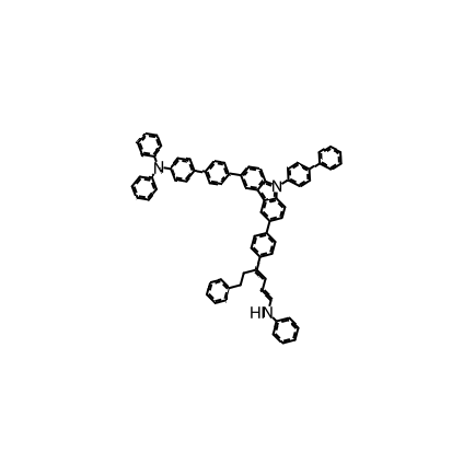 C(=C\Nc1ccccc1)/C=C(\CCc1ccccc1)c1ccc(-c2ccc3c(c2)c2cc(-c4ccc(-c5ccc(N(c6ccccc6)c6ccccc6)cc5)cc4)ccc2n3-c2ccc(-c3ccccc3)cc2)cc1